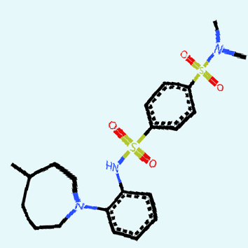 CC1CCCN(c2ccccc2NS(=O)(=O)c2ccc(S(=O)(=O)N(C)C)cc2)CC1